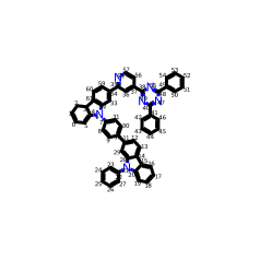 C1=CCC2C(=C1)N(c1ccc(-c3ccc4c5ccccc5n(-c5ccccc5)c4c3)cc1)c1cc(-c3cc(-c4nc(-c5ccccc5)nc(-c5ccccc5)n4)ccn3)ccc12